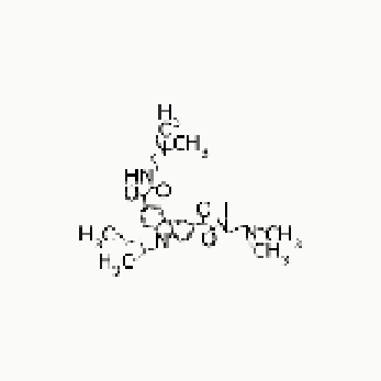 CCCCC(CC)Cn1c2ccc(C(=O)C(=O)NCCN(CC)CC)cc2c2cc(C(=O)C(=O)NCCN(CC)CC)ccc21